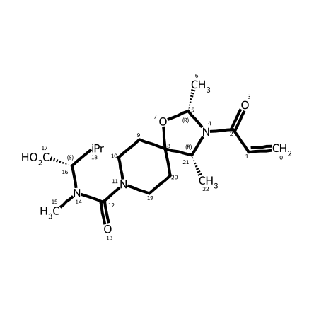 C=CC(=O)N1[C@@H](C)OC2(CCN(C(=O)N(C)[C@H](C(=O)O)C(C)C)CC2)[C@H]1C